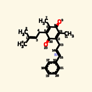 CC(C)=CCC1=C(C)C(=O)C(C)=C(C/C=C/c2ccccc2)C1=O